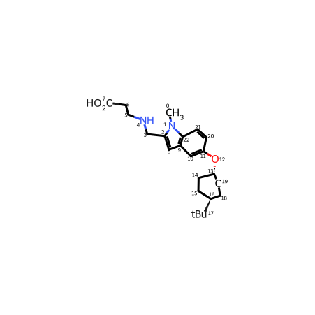 Cn1c(CNCCC(=O)O)cc2cc(O[C@H]3CC[C@H](C(C)(C)C)CC3)ccc21